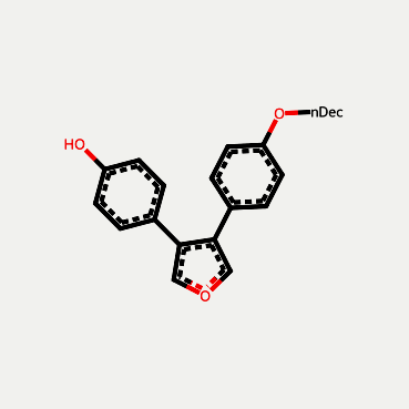 CCCCCCCCCCOc1ccc(-c2cocc2-c2ccc(O)cc2)cc1